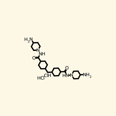 Cl.Cl.NC1CCN(NC(=O)C2CCC(CC3CCC(C(=O)NN4CCC(N)CC4)CC3)CC2)CC1